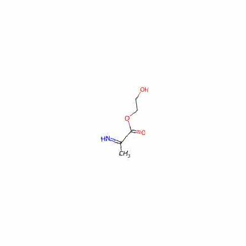 CC(=N)C(=O)OCCO